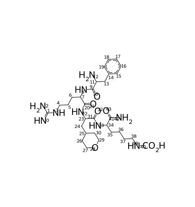 N=C(N)NCCCC(NC(=O)C(N)Cc1ccccc1)C(=O)NC(CC1CCOCC1)C(=O)NC(CCCCNC(=O)O)C(N)=O